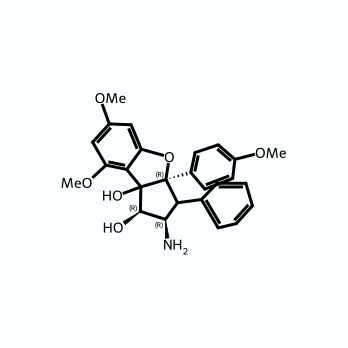 COc1ccc([C@@]23Oc4cc(OC)cc(OC)c4C2(O)[C@H](O)[C@H](N)C3c2ccccc2)cc1